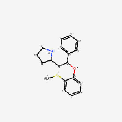 CSc1ccccc1OC(CC1CCCN1)c1ccccc1